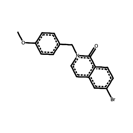 COc1ccc(Cn2ccc3cc(Br)ccc3c2=O)cc1